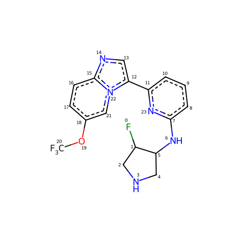 FC1CNCC1Nc1cccc(-c2cnc3ccc(OC(F)(F)F)cn23)n1